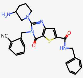 N#Cc1ccccc1Cn1c(N2CCCC(N)C2)nc2cc(C(=O)NCc3ccccc3)sc2c1=O